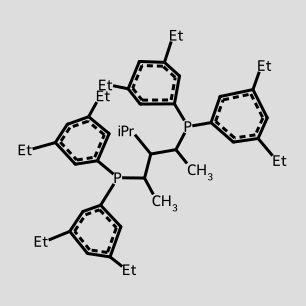 CCc1cc(CC)cc(P(c2cc(CC)cc(CC)c2)C(C)C(C(C)C)C(C)P(c2cc(CC)cc(CC)c2)c2cc(CC)cc(CC)c2)c1